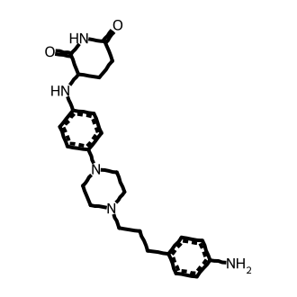 Nc1ccc(CCCN2CCN(c3ccc(NC4CCC(=O)NC4=O)cc3)CC2)cc1